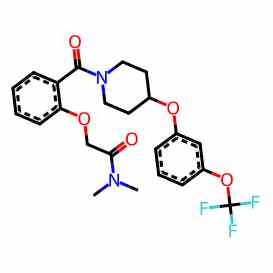 CN(C)C(=O)COc1ccccc1C(=O)N1CCC(Oc2cccc(OC(F)(F)F)c2)CC1